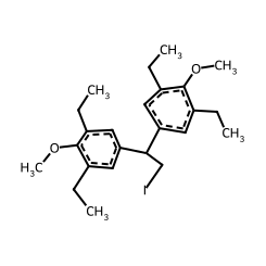 CCc1cc(C(CI)c2cc(CC)c(OC)c(CC)c2)cc(CC)c1OC